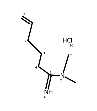 C=CCCCC(=N)N(C)C.Cl